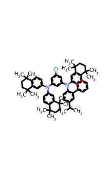 CC(C)c1ccc(N(c2cc(Cl)cc(N(c3ccc4c(c3)C(C)(C)CCC4(C)C)c3ccc4c(c3)C(C)(C)CCC4(C)C)c2)c2ccc3c(c2)C(C)(C)CCC3(C)C)c(-c2ccccc2)c1